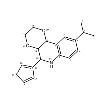 CC(C)c1ccc2c(c1)C1OCCOC1C(c1ccsc1)N2